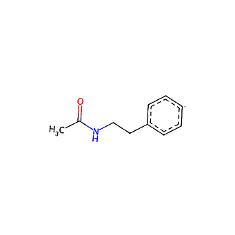 CC(=O)NCCc1cc[c]cc1